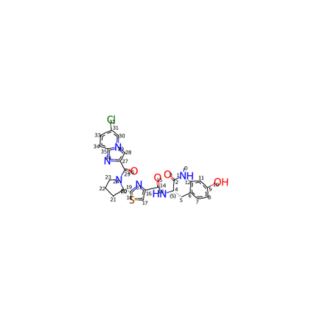 CNC(=O)[C@H](Cc1ccc(O)cc1)NC(=O)c1csc([C@@H]2CCCN2C(=O)c2cn3cc(Cl)ccc3n2)n1